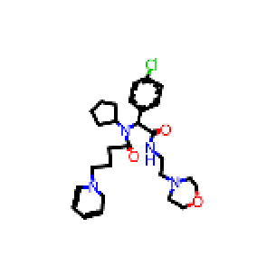 O=C(NCCN1CCOCC1)C(c1ccc(Cl)cc1)N(C(=O)CCCN1C=CC=CC1)C1CCCC1